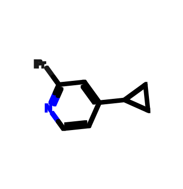 CC(C)c1cc(C2CC2)ccn1